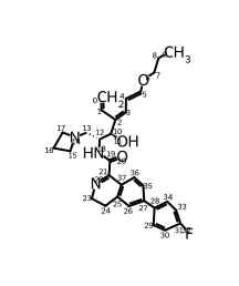 C=C/C(=C\C=C\OCCC)[C@@H](O)[C@@H](CN1CCC1)NC(=O)C1=NCCc2cc(-c3ccc(F)cc3)ccc21